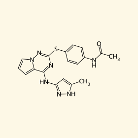 CC(=O)Nc1ccc(Sc2nc(Nc3cc(C)[nH]n3)c3cccn3n2)cc1